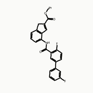 CC(C)OC(=O)C1=Cc2c(cccc2NC(=O)c2cc(-c3cccc(F)c3)ccc2F)C1